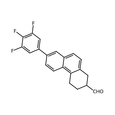 O=CC1CCc2c(ccc3cc(-c4cc(F)c(F)c(F)c4)ccc23)C1